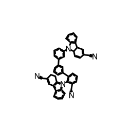 N#CC1=CC2c3ccccc3N(c3cccc(-c4cccc(-c5cccc(C#N)c5-n5c6c(c7ccccc75)C=C(C#N)CC6)c4)c3)C2C=C1